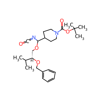 CC(C)[C@H](COC(N=C=O)C1CCN(C(=O)OC(C)(C)C)CC1)OCc1ccccc1